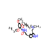 COc1cc(OC)c(CNC(=O)C=Cc2ccc3[nH]cc(CCN(C)C)c3c2)c(OC)c1